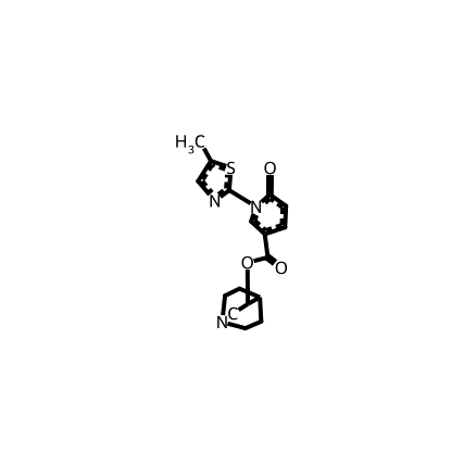 Cc1cnc(-n2cc(C(=O)OC3CN4CCC3CC4)ccc2=O)s1